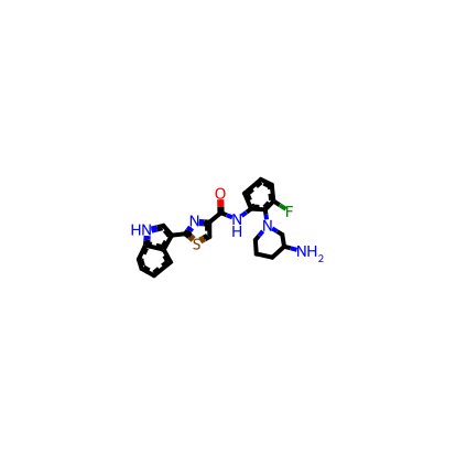 NC1CCCN(c2c(F)cccc2NC(=O)c2csc(-c3c[nH]c4ccccc34)n2)C1